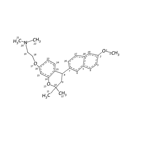 COc1ccc2cc(C3CC(C)(C)Oc4cc(OCCN(C)C)ccc43)ccc2c1